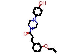 C=CCOc1cccc(/C=C/C(=O)N2CCN(c3ccc(O)cc3)CC2)c1